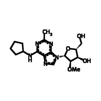 CO[C@@H]1[C@H](O)[C@@H](CO)O[C@H]1n1cnc2c(NC3CCCC3)nc(C)nc21